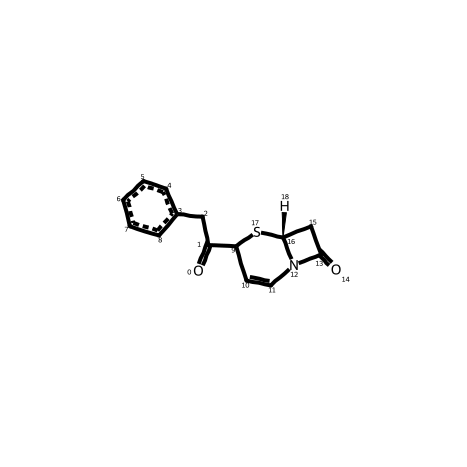 O=C(Cc1ccccc1)C1C=CN2C(=O)C[C@H]2S1